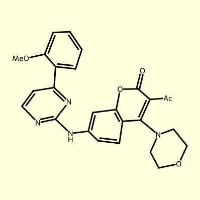 COc1ccccc1-c1ccnc(Nc2ccc3c(N4CCOCC4)c(C(C)=O)c(=O)oc3c2)n1